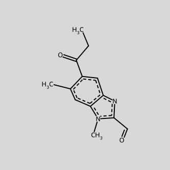 CCC(=O)c1cc2nc(C=O)n(C)c2cc1C